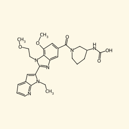 CCn1c(-c2nc3cc(C(=O)N4CCCC(NC(=O)O)C4)cc(OC)c3n2CCOC)cc2cccnc21